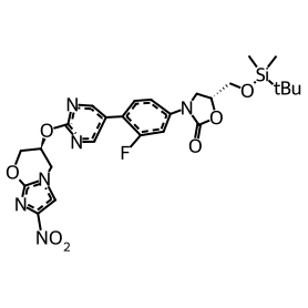 CC(C)(C)[Si](C)(C)OC[C@H]1CN(c2ccc(-c3cnc(O[C@@H]4COc5nc([N+](=O)[O-])cn5C4)nc3)c(F)c2)C(=O)O1